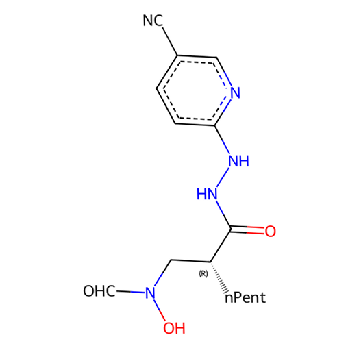 CCCCC[C@H](CN(O)C=O)C(=O)NNc1ccc(C#N)cn1